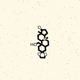 CC12CCC3C4(CO)CCC5(CC4CCS3(C)C1CCC2=O)OCCO5